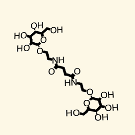 O=C(CCC(=O)NCCO[C@H]1OC(CO)[C@@H](O)C(O)C1O)NCCO[C@H]1OC(CO)[C@@H](O)C(O)C1O